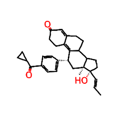 CC=C[C@]1(O)CCC2C3CCC4=CC(=O)CCC4=C3[C@@H](c3ccc(C(=O)C4CC4)cc3)C[C@@]21C